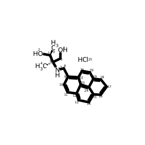 C[C@H](O)[C@@](C)(CO)NCc1ccc2ccc3cccc4ccc1c2c34.Cl